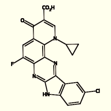 O=C(O)c1cn(C2CC2)c2c(cc(F)c3nc4[nH]c5ccc(Cl)cc5c4nc32)c1=O